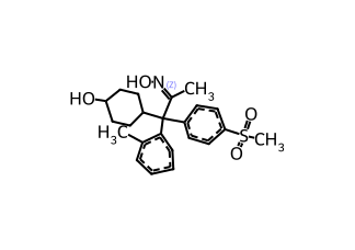 C/C(=N/O)C(c1ccc(S(C)(=O)=O)cc1)(c1ccccc1C)C1CCC(O)CC1